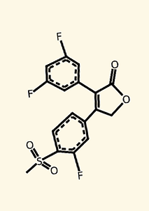 CS(=O)(=O)c1ccc(C2=C(c3cc(F)cc(F)c3)C(=O)OC2)cc1F